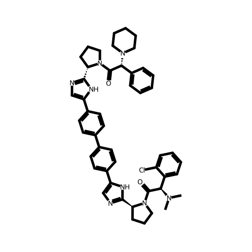 CN(C)[C@@H](C(=O)N1CCC[C@H]1c1ncc(-c2ccc(-c3ccc(-c4cnc([C@@H]5CCCN5C(=O)[C@@H](c5ccccc5)N5CCCCC5)[nH]4)cc3)cc2)[nH]1)c1ccccc1Cl